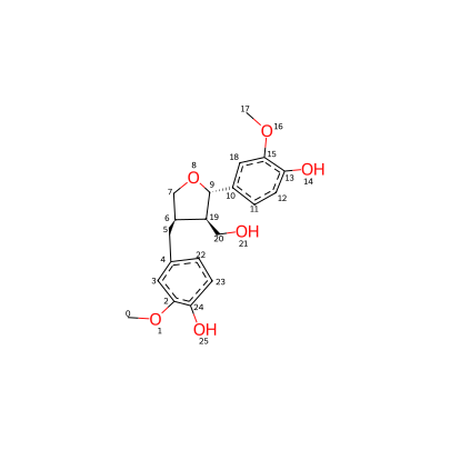 COc1cc(C[C@H]2CO[C@H](c3ccc(O)c(OC)c3)[C@H]2CO)ccc1O